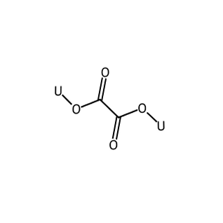 O=C([O][U])C(=O)[O][U]